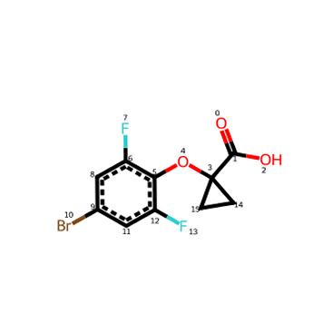 O=C(O)C1(Oc2c(F)cc(Br)cc2F)CC1